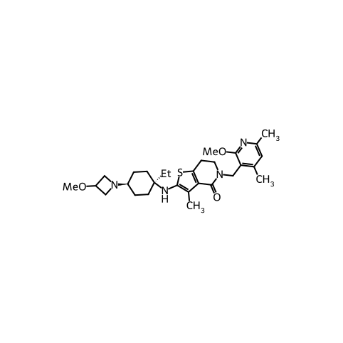 CC[C@]1(Nc2sc3c(c2C)C(=O)N(Cc2c(C)cc(C)nc2OC)CC3)CC[C@@H](N2CC(OC)C2)CC1